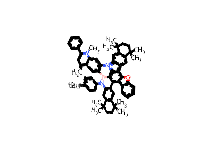 C=C1C=C(c2ccccc2)N(C)c2cc3c(cc21)B1c2c(c4c5ccccc5oc4c4c5cc6c(cc5n-3c24)C(C)(C)CCC6(C)C)-c2cc3c(cc2N1c1ccc(C(C)(C)C)cc1)C(C)(C)CCC3(C)C